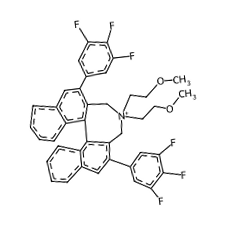 COCC[N+]1(CCOC)Cc2c(-c3cc(F)c(F)c(F)c3)cc3ccccc3c2-c2c(c(-c3cc(F)c(F)c(F)c3)cc3ccccc23)C1